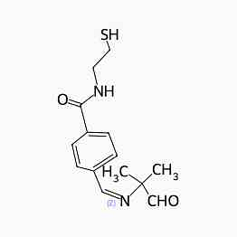 CC(C)(C=O)/N=C\c1ccc(C(=O)NCCS)cc1